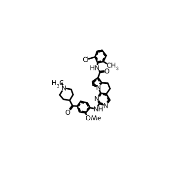 COc1cc(C(=O)C2CCN(C)CC2)ccc1Nc1ncc2c(n1)-n1ccc(C(=O)Nc3c(C)cccc3Cl)c1CC2